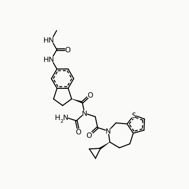 CNC(=O)Nc1ccc2c(c1)CC[C@@H]2C(=O)N(CC(=O)N1Cc2sccc2CC[C@H]1C1CC1)C(N)=O